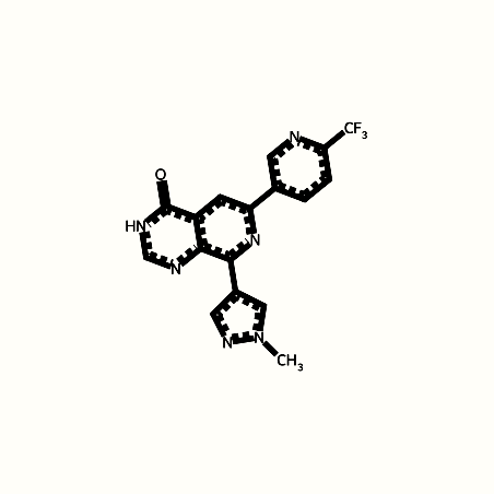 Cn1cc(-c2nc(-c3ccc(C(F)(F)F)nc3)cc3c(=O)[nH]cnc23)cn1